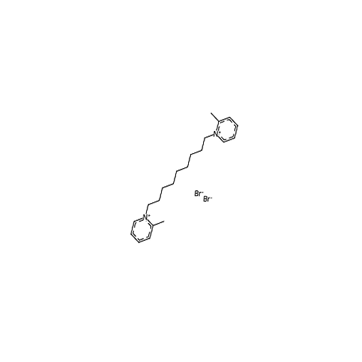 Cc1cccc[n+]1CCCCCCCCC[n+]1ccccc1C.[Br-].[Br-]